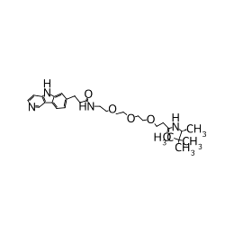 C[C@H](NC(=O)CCOCCOCCOCCNC(=O)CCc1ccc2c(c1)[nH]c1ccncc12)C(C)(C)C